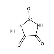 O=c1[nH][s+]([O-])[nH]c1=O.[KH]